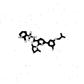 CC(C)COc1cc(F)cc(-c2ccc(C(=O)NS(=O)(=O)c3ccc[nH]c3=O)c(N3C(C)CCC3C)n2)c1